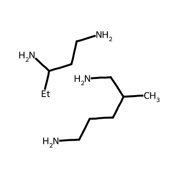 CC(CN)CCCN.CCC(N)CCN